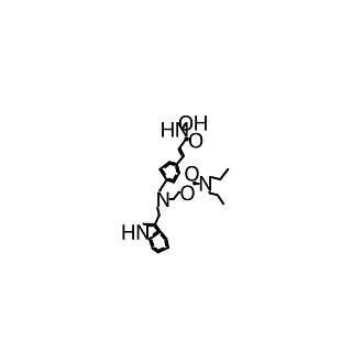 CCCN(CCC)C(=O)OCCN(CCc1c[nH]c2ccccc12)Cc1ccc(/C=C/C(=O)NO)cc1